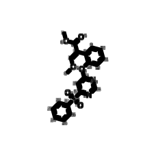 CO/C=C(/C(=O)OC)c1ccccc1Oc1cc(S(=O)(=O)c2ccccc2)ncn1